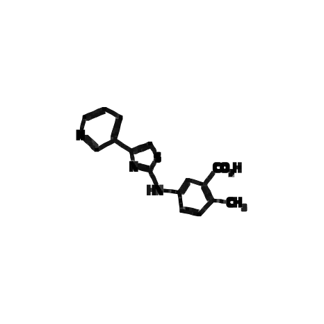 Cc1ccc(Nc2nc(-c3cccnc3)cs2)cc1C(=O)O